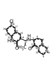 C[C@H](Nc1ccc2cnccn2c1=O)c1cc2cc(Cl)ccc2[nH]c1=O